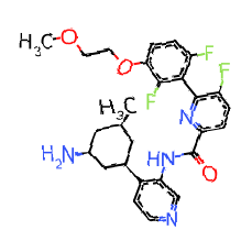 COCCOc1ccc(F)c(-c2nc(C(=O)Nc3cnccc3[C@@H]3C[C@H](C)C[C@H](N)C3)ccc2F)c1F